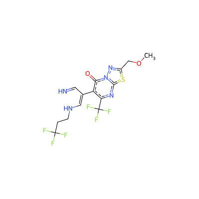 COCc1nn2c(=O)c(/C(C=N)=C/NCCC(F)(F)F)c(C(F)(F)F)nc2s1